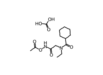 CCN(CC(=O)NOC(C)=O)C(=O)C1CCCCC1.O=C(O)O